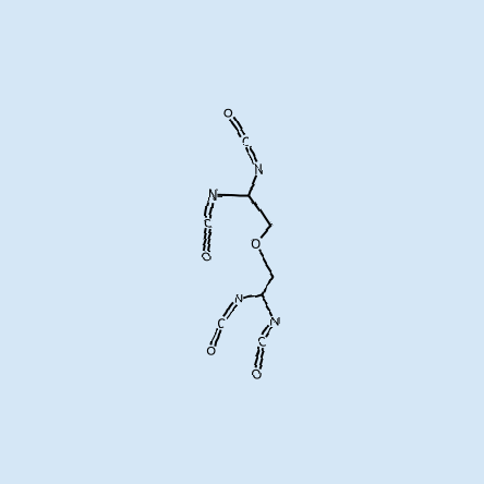 O=C=NC(COCC(N=C=O)N=C=O)N=C=O